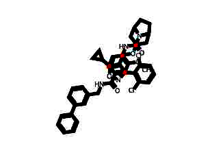 COc1cc(C(=O)NCc2cccc(-c3ccccc3)c2)ccc1NC(=O)N1C2CCC1CC(OCc1c(-c3c(Cl)cccc3Cl)noc1C1CC1)C2